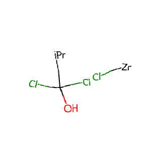 CC(C)C(O)(Cl)Cl.[Cl][Zr]